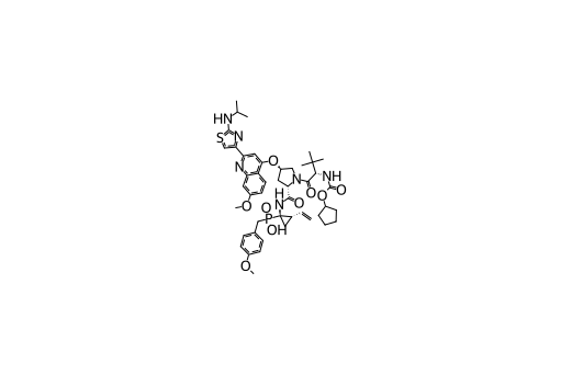 C=C[C@@H]1C[C@]1(NC(=O)[C@@H]1C[C@@H](Oc2cc(-c3csc(NC(C)C)n3)nc3cc(OC)ccc23)CN1C(=O)[C@@H](NC(=O)OC1CCCC1)C(C)(C)C)P(=O)(O)Cc1ccc(OC)cc1